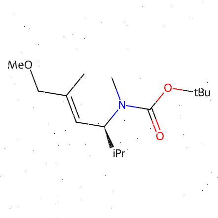 COC/C(C)=C/[C@H](C(C)C)N(C)C(=O)OC(C)(C)C